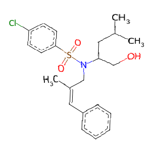 CC(=Cc1ccccc1)CN(C(CO)CC(C)C)S(=O)(=O)c1ccc(Cl)cc1